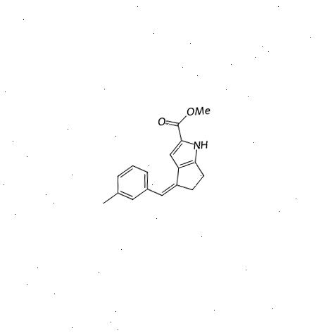 COC(=O)c1cc2c([nH]1)CC/C2=C/c1cccc(C)c1